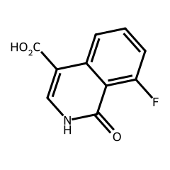 O=C(O)c1c[nH]c(=O)c2c(F)cccc12